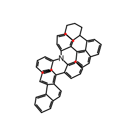 c1ccc(N(c2ccccc2-c2cccc3c2ccc2ccccc23)c2ccccc2-c2cccc3cccc(C4CCCCC4)c23)cc1